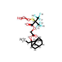 CCC1(OC(=O)COC(=O)C(SOOO)(C(F)(F)F)C(F)(F)F)C2CC3CC(C2)CC1C3